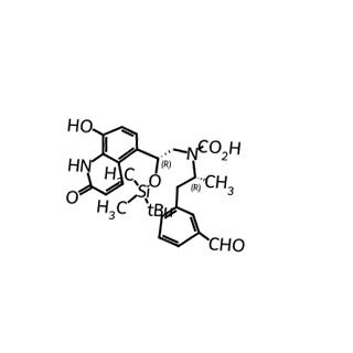 C[C@H](Cc1cccc(C=O)c1)N(C[C@H](O[Si](C)(C)C(C)(C)C)c1ccc(O)c2[nH]c(=O)ccc12)C(=O)O